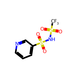 O=S(=O)(NS(=O)(=O)C(F)(F)F)c1cccnc1